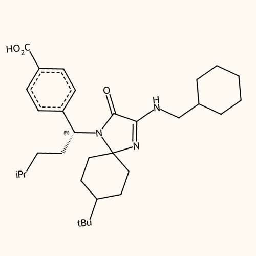 CC(C)CC[C@H](c1ccc(C(=O)O)cc1)N1C(=O)C(NCC2CCCCC2)=NC12CCC(C(C)(C)C)CC2